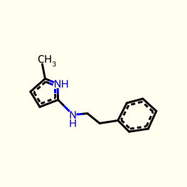 Cc1ccc(NCCc2ccccc2)[nH]1